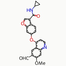 COc1cc2nccc(Oc3ccc4c(C(=O)NC5CC5)coc4c3)c2cc1C=O